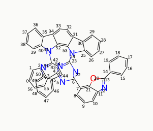 c1ccc(-c2nc(-c3cccc4nc(-c5ccccc5)oc34)nc(-n3c4ccccc4c4ccc5c6ccccc6n(-c6ccc7ccccc7n6)c5c43)n2)cc1